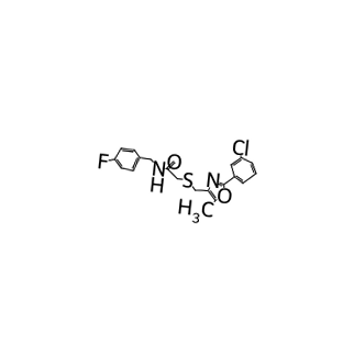 Cc1oc(-c2cccc(Cl)c2)nc1CSCC(=O)NCc1ccc(F)cc1